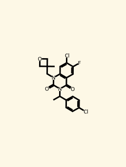 CC(c1ccc(Cl)cc1)n1c(=O)c2cc(F)c(Cl)cc2n(CC2(C)COC2)c1=O